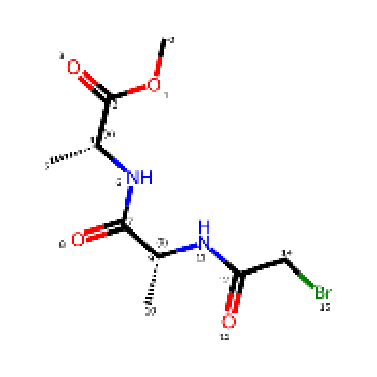 COC(=O)[C@@H](C)NC(=O)[C@@H](C)NC(=O)CBr